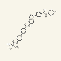 CC(C)(C)C(=O)OC1CCN(c2ccc(C(=O)Nc3ccc4c(cnn4-c4ccc(C(=O)NC5CCNCC5)cc4)c3)cc2)CC1